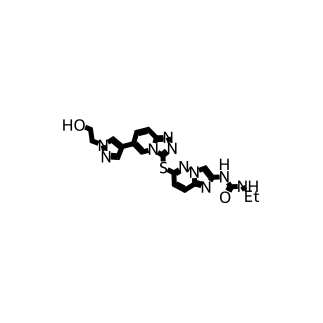 CCNC(=O)Nc1cn2nc(Sc3nnc4ccc(-c5cnn(CCO)c5)cn34)ccc2n1